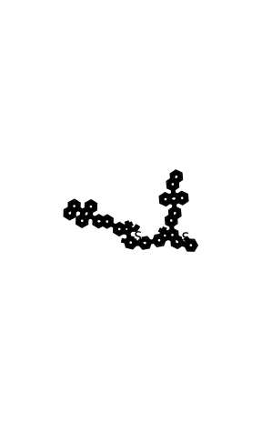 C=CC1=C(c2c(C)ccc3c2sc2cc(-c4ccc5c(c4)C(C)(C)c4c(-c6ccc7cc(-c8c9ccccc9c(-c9ccc%10ccccc%10c9)c9ccccc89)ccc7c6)cc6c(ccc7c8ccccc8sc67)c4-5)ccc23)c2ccc(-c3ccc4cc(-c5c6ccccc6c(-c6cccc7ccccc67)c6ccccc56)ccc4c3)cc2C1(C)C